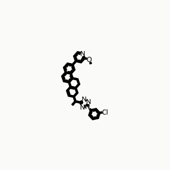 COc1cc(-c2ccc3ccc4c(c3c2)CCC2=C4C=CC(C(C)c3nnn(-c4cccc(Cl)c4)n3)C2)ccn1